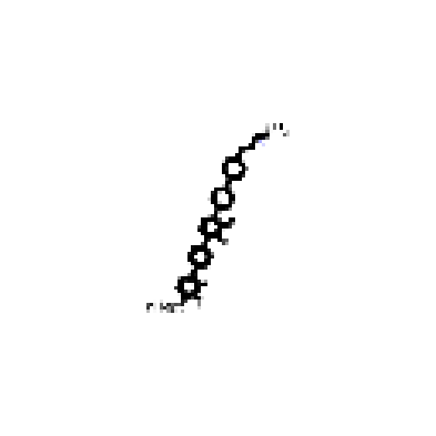 C/C=C/CCC1CCC(C2CC=C(c3ccc(-c4ccc(-c5ccc(CCCCCCC)c(F)c5F)cc4)c(F)c3F)CC2)CC1